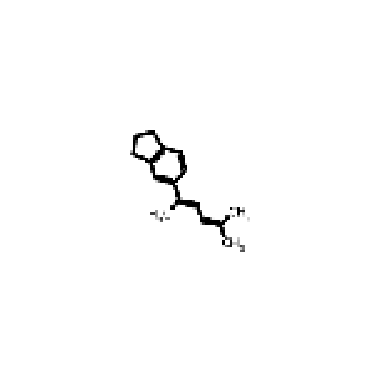 CC(C)=C/C=C(\C)c1ccc2c(c1)CCC2